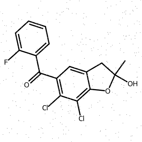 CC1(O)Cc2cc(C(=O)c3ccccc3F)c(Cl)c(Cl)c2O1